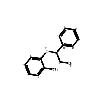 Clc1ccccc1OC(CBr)c1ccccc1